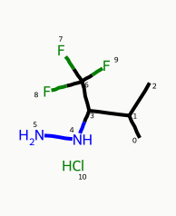 CC(C)C(NN)C(F)(F)F.Cl